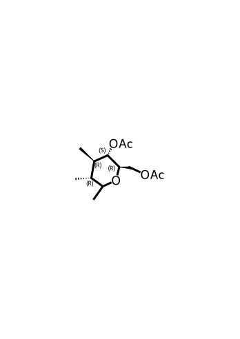 CC(=O)OC[C@H]1OC(C)[C@H](C)[C@@H](C)[C@@H]1OC(C)=O